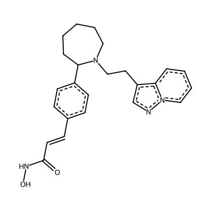 O=C(/C=C/c1ccc(C2CCCCCN2CCc2cnn3ccccc23)cc1)NO